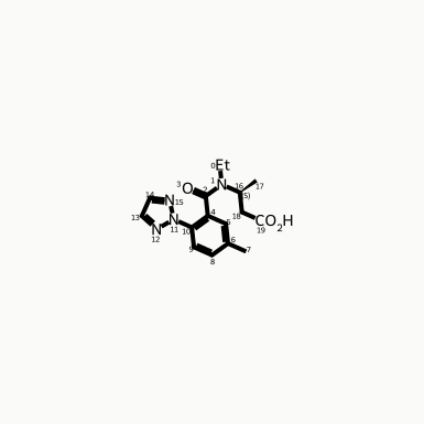 CCN(C(=O)c1cc(C)ccc1-n1nccn1)[C@@H](C)CC(=O)O